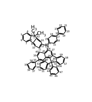 CC1(C)c2ccccc2-c2ccc(N(c3ccc(-c4ccccc4)cc3)c3cc4c(c5cc(-c6ccccc6)ccc35)C(c3ccccc3)(c3ccccc3)c3ccccc3-4)cc21